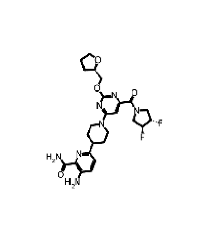 NC(=O)c1nc(C2CCN(c3cc(C(=O)N4C[C@H](F)[C@@H](F)C4)nc(OC[C@H]4CCCO4)n3)CC2)ccc1N